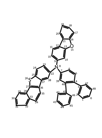 c1ccc(-c2ccc(N(c3ccc4c(c3)oc3ccccc34)c3ccc4sc5c6ccccc6ccc5c4c3)cc2-c2ccccc2)cc1